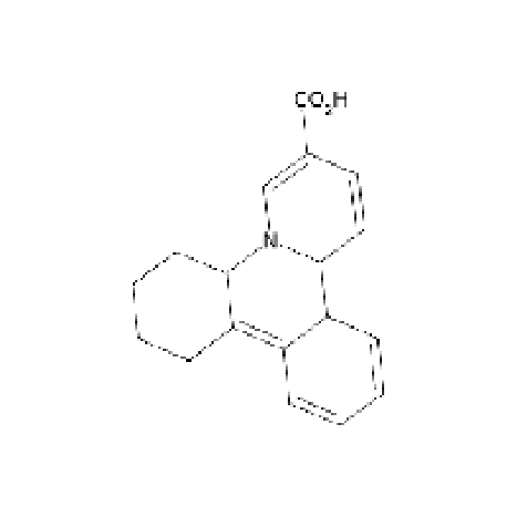 O=C(O)C1=CN2C3CCCCC3=C3C=CC=CC3C2C=C1